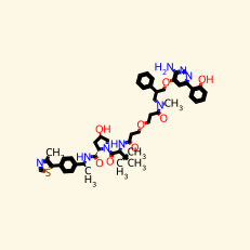 Cc1ncsc1-c1ccc([C@H](C)NC(=O)[C@@H]2C[C@@H](O)CN2C(=O)C(NC(=O)CCOCCC(=O)N(C)CC(COc2cc(-c3ccccc3O)nnc2N)c2ccccc2)C(C)(C)C)cc1